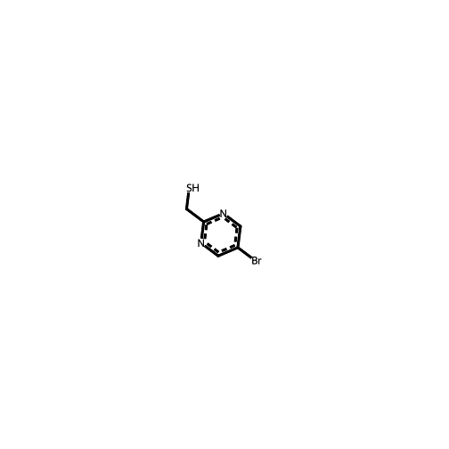 SCc1ncc(Br)cn1